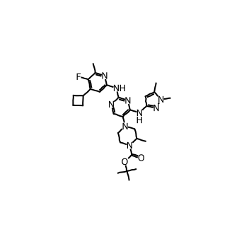 Cc1nc(Nc2ncc(N3CCN(C(=O)OC(C)(C)C)C(C)C3)c(Nc3cc(C)n(C)n3)n2)cc(C2CCC2)c1F